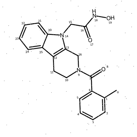 Cc1ccccc1C(=O)N1CCc2c(n(CC(=O)NO)c3ccccc23)C1